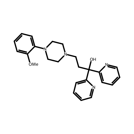 COc1ccccc1N1CCN(CCC(O)(c2ccccn2)c2ccccn2)CC1